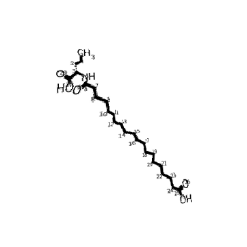 CCC[C@H](NC(=O)CCCCCCCCCCCCCCCCCCC(=O)O)C(=O)O